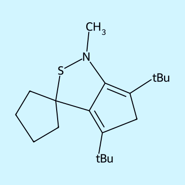 CN1SC2(CCCC2)C2=C(C(C)(C)C)CC(C(C)(C)C)=C21